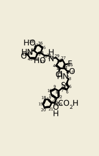 O=C(NCc1ccc(-c2cccc([C@](O)(C(=O)O)c3ccccc3)c2)s1)c1c(F)cc(CNC[C@H](O)c2ccc(O)c3[nH]c(=O)ccc23)cc1Cl